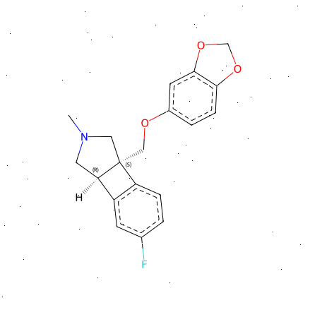 CN1C[C@@H]2c3cc(F)ccc3[C@]2(COc2ccc3c(c2)OCO3)C1